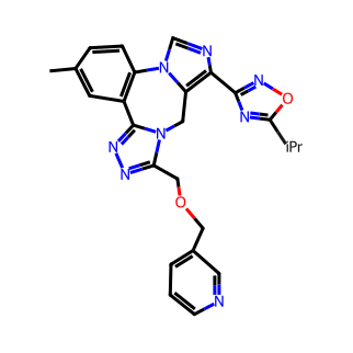 Cc1ccc2c(c1)-c1nnc(COCc3cccnc3)n1Cc1c(-c3noc(C(C)C)n3)ncn1-2